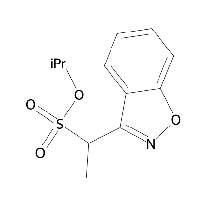 CC(C)OS(=O)(=O)C(C)c1noc2ccccc12